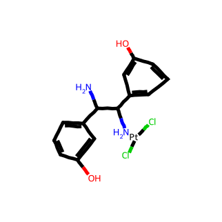 NC(c1cccc(O)c1)C(N)c1cccc(O)c1.[Cl][Pt][Cl]